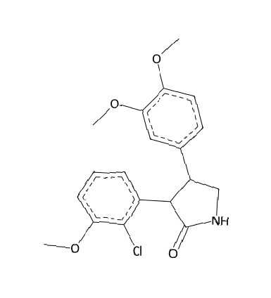 COc1ccc(C2CNC(=O)C2c2cccc(OC)c2Cl)cc1OC